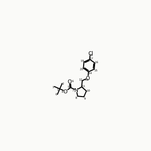 CC(C)(C)OC(=O)N1CCCC1COc1ccc(Cl)cc1